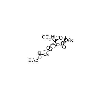 CC(=O)OCOC(=O)COc1cc2cc(-c3ncc(C(=O)OCOC(C)=O)o3)oc2cc1N(CC(=O)O)CC(=O)O